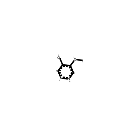 COc1cnncc1Cl